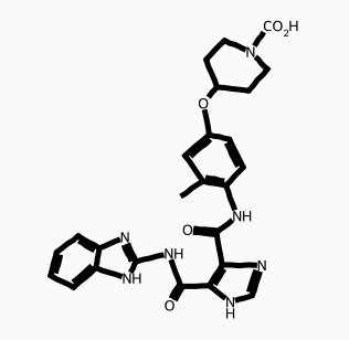 Cc1cc(OC2CCN(C(=O)O)CC2)ccc1NC(=O)c1nc[nH]c1C(=O)Nc1nc2ccccc2[nH]1